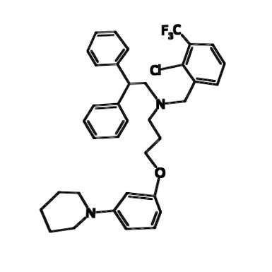 FC(F)(F)c1cccc(CN(CCCOc2cccc(N3CCCCC3)c2)CC(c2ccccc2)c2ccccc2)c1Cl